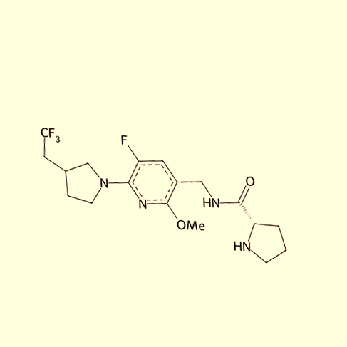 COc1nc(N2CCC(CC(F)(F)F)C2)c(F)cc1CNC(=O)[C@@H]1CCCN1